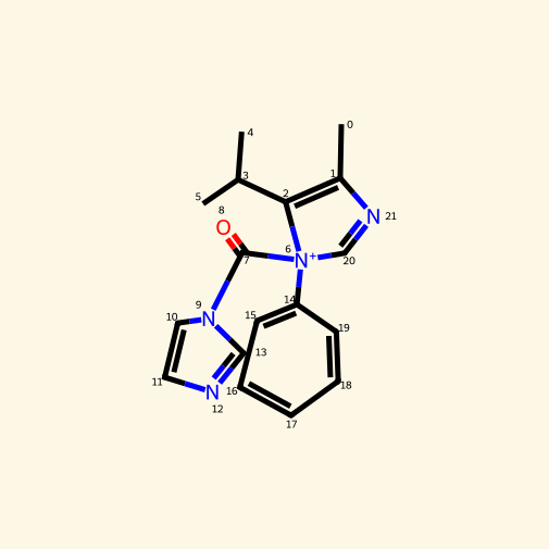 CC1=C(C(C)C)[N+](C(=O)n2ccnc2)(c2ccccc2)C=N1